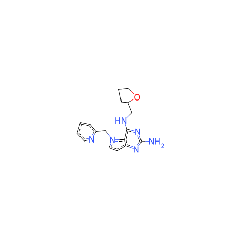 Nc1nc(NCC2CCCO2)c2c(ccn2Cc2ccccn2)n1